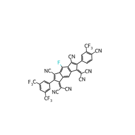 N#CC(C#N)=C1C(c2cc(C(F)(F)F)cc(C(F)(F)F)c2)=C(C#N)c2c1cc1c(c2F)C(C#N)=C(c2ccc(C#N)c(C(F)(F)F)c2)C1=C(C#N)C#N